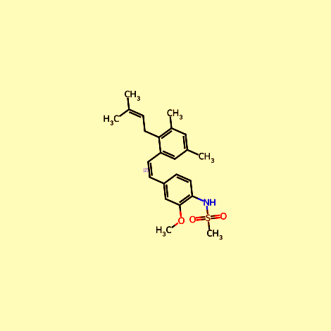 COc1cc(/C=C\c2cc(C)cc(C)c2CC=C(C)C)ccc1NS(C)(=O)=O